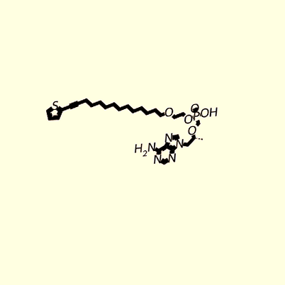 C[C@H](Cn1cnc2c(N)ncnc21)OCP(=O)(O)OCCOCCCCCCCCCCCCC#Cc1cccs1